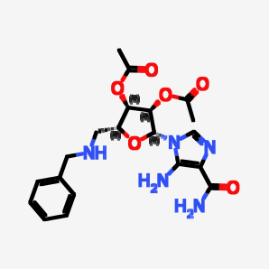 CC(=O)O[C@@H]1[C@H](OC(C)=O)[C@@H](CNCc2ccccc2)O[C@H]1n1cnc(C(N)=O)c1N